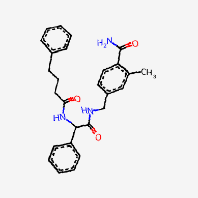 Cc1cc(CNC(=O)C(NC(=O)CCCc2ccccc2)c2ccccc2)ccc1C(N)=O